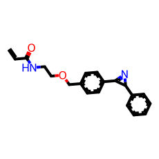 C=CC(=O)NCCOCc1ccc(C2=NC2c2ccccc2)cc1